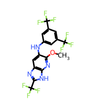 COc1nc2[nH]c(C(F)(F)F)nc2cc1Nc1cc(C(F)(F)F)cc(C(F)(F)F)c1